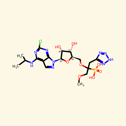 COCC(Cc1nn[nH]n1)(OC[C@H]1O[C@@H](n2ncc3c(NC(C)C)nc(Cl)nc32)[C@H](O)[C@@H]1O)P(=O)(O)O